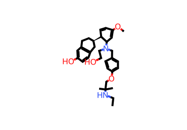 CCNC(C)(C)COc1ccc(CN(CCO)C2C=C(OC)C=CC2[C@@H]2CCc3cc(O)ccc3C2)cc1